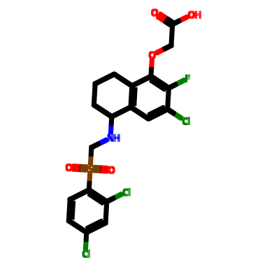 O=C(O)COc1c(F)c(Cl)cc2c1CCCC2NCS(=O)(=O)c1ccc(Cl)cc1Cl